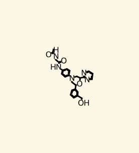 CC(=O)NCC(=O)Nc1ccc(N2CC(c3cccc(CO)c3)OC(c3ncccn3)C2)cc1